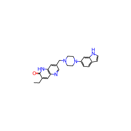 CCc1cc2ncc(CN3CCN(c4ccc5cc[nH]c5c4)CC3)cc2[nH]c1=O